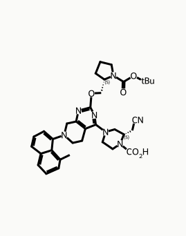 Cc1cccc2cccc(N3CCc4c(nc(OC[C@@H]5CCCN5C(=O)OC(C)(C)C)nc4N4CCN(C(=O)O)[C@@H](CC#N)C4)C3)c12